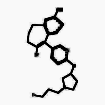 Oc1ccc2c(c1)CCCC(Br)=C2c1ccc(OC2CCN(CCCF)C2)nc1